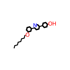 CCCCCCCCOc1cccc(-c2ccc(-c3ccc(O)cc3)cn2)c1